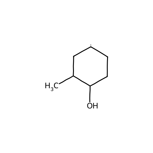 CC1C[CH]CCC1O